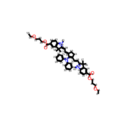 CCOCCCOC(=O)c1ccc2c(c1)C(C)(C)C(/C=C/C1=C(N(c3ccccc3)c3ccccc3)C(=C/C=C3/N(C)c4ccc(C(=O)OCCCOCC)cc4C3(C)C)/CC1)=[N+]2C